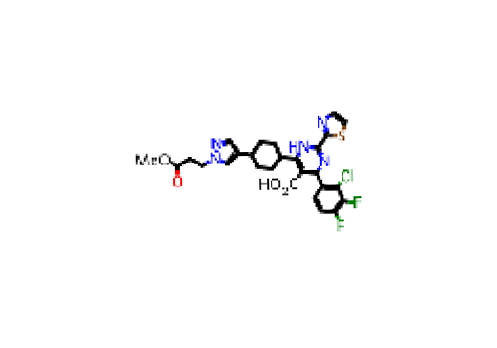 COC(=O)CCn1cc(C2CCC(C3=C(C(=O)O)C(c4ccc(F)c(F)c4Cl)N=C(c4nccs4)N3)CC2)cn1